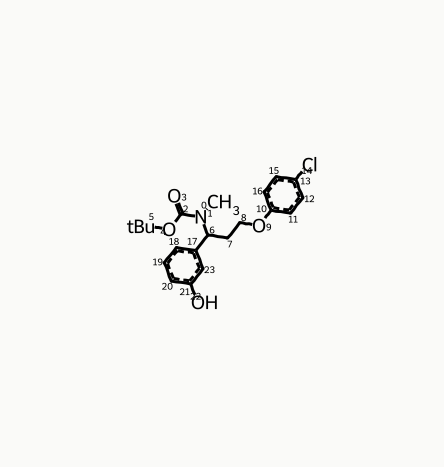 CN(C(=O)OC(C)(C)C)C(CCOc1ccc(Cl)cc1)c1cccc(O)c1